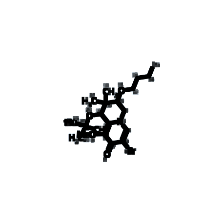 COc1c2n(cc(Br)c1=O)CC(OCCCI)C(C)(C)C2O[Si](C)(C)C(C)(C)C